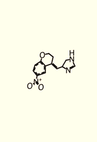 O=[N+]([O-])c1ccc2c(c1)/C(=C/C1CNC=N1)CCO2